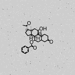 CC(=O)[C@H]1CC[C@H]2[C@@H]3C(OC(=O)c4ccccc4)CC4CC(=O)CC[C@]4(C)[C@H]3C(O)C[C@]12C